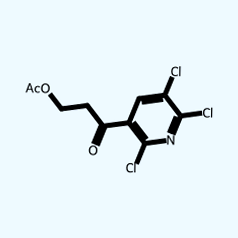 CC(=O)OCCC(=O)c1cc(Cl)c(Cl)nc1Cl